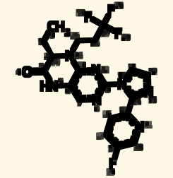 CC[C@@H]1C(=O)Nc2cnc(-n3ccnc3-c3ccc(F)cn3)nc2N1CCC(F)(F)F